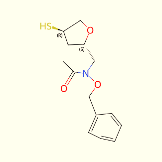 CC(=O)N(C[C@@H]1C[C@@H](S)CO1)OCc1ccccc1